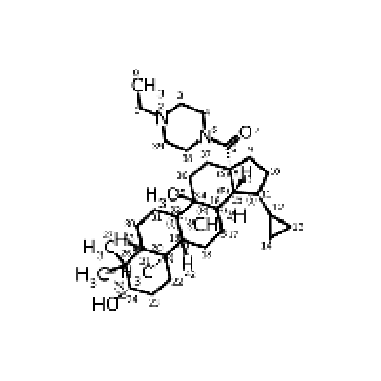 CCN1CCN(C(=O)[C@]23CC[C@@H](C4CC4)[C@@H]2[C@H]2CC[C@@H]4[C@@]5(C)CC[C@H](O)C(C)(C)[C@@H]5CC[C@@]4(C)[C@]2(C)CC3)CC1